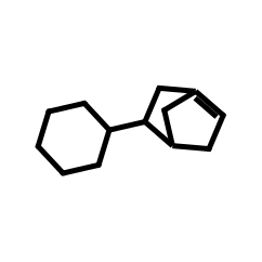 C1=C2CC(C1)C(C1CCCCC1)C2